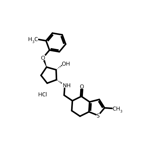 Cc1cc2c(s1)CCC(CN[C@@H]1CC[C@@H](Oc3ccccc3C)[C@@H]1O)C2=O.Cl